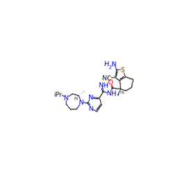 CC(C)N1CCCN(c2nccc(C(=N)NC(=O)[C@@]3(C)CCCc4sc(N)c(C#N)c43)n2)[C@@H](C)C1